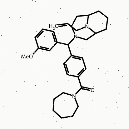 C=CCN1C2CCCC1CN(C(c1ccc(C(=O)N3CCCCCC3)cc1)c1cccc(OC)c1)CC2